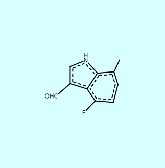 Cc1ccc(F)c2c(C=O)c[nH]c12